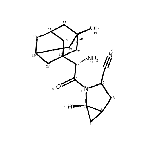 N#CC1CC2C[C@@H]2N1C(=O)[C@@H](N)C12CC3CC(CC(O)(C3)C1)C2